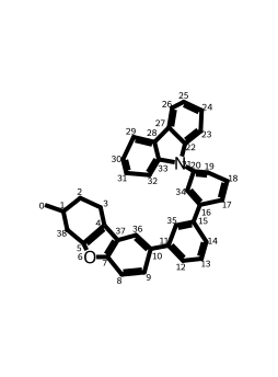 CC1CCc2c(oc3ccc(-c4cccc(-c5cccc(-n6c7ccccc7c7ccccc76)c5)c4)cc23)C1